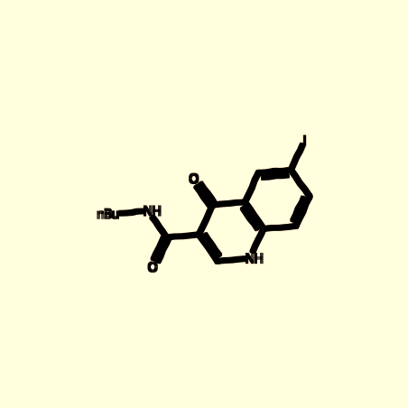 CCCCNC(=O)c1c[nH]c2ccc(I)cc2c1=O